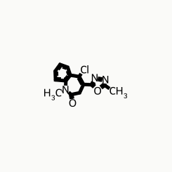 Cc1nnc(C2=C(Cl)c3ccccc3N(C)C(=O)C2)o1